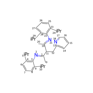 C/C(=N\c1c(C(C)C)cccc1C(C)C)C(Cc1ccccn1)/C(C)=N/c1c(C(C)C)cccc1C(C)C